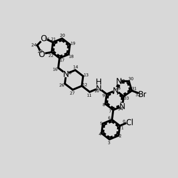 Clc1ccccc1-c1cc(NCC2CCN(Cc3cccc4c3OCO4)CC2)n2ncc(Br)c2n1